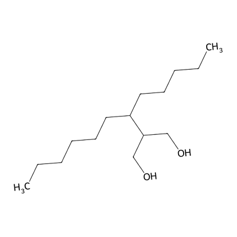 CCCCCCC(CCCCC)C(CO)CO